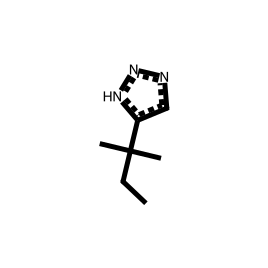 CCC(C)(C)c1cnn[nH]1